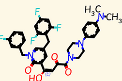 CN(C)c1ccc(N2CCN(C(=O)C(=O)/C=C(/O)c3cc(Cc4c(F)cc(F)cc4F)cn(Cc4cccc(F)c4)c3=O)CC2)cc1